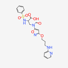 O=CN(CC(NS(=O)(=O)c1ccccc1)C(=O)O)c1cc(OCCCNc2ccccn2)no1